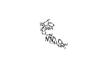 CC(Nc1c(Cl)cnc2ccc(-c3cnc(N4CCN(C(CN)C(=O)O)CC4)nc3)cc12)c1ccccc1F